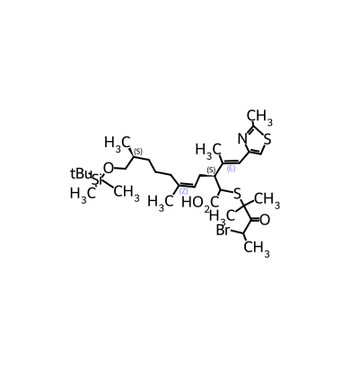 C/C(=C/C[C@@H](/C(C)=C/c1csc(C)n1)C(SC(C)(C)C(=O)C(C)Br)C(=O)O)CCC[C@H](C)CO[Si](C)(C)C(C)(C)C